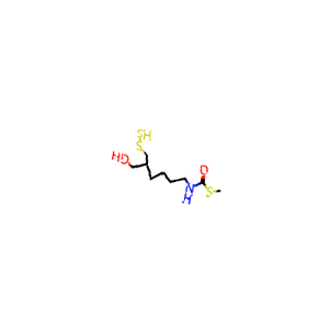 CSC(=O)NCCCCC(CO)CSS